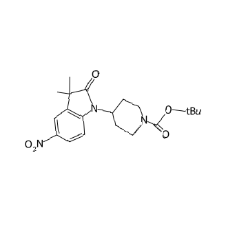 CC(C)(C)OC(=O)N1CCC(N2C(=O)C(C)(C)c3cc([N+](=O)[O-])ccc32)CC1